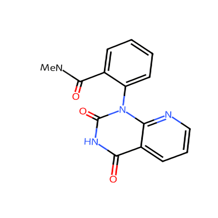 CNC(=O)c1ccccc1-n1c(=O)[nH]c(=O)c2cccnc21